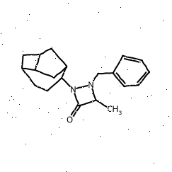 CC1C(=O)N(C2CCC3CC4CC2CC34)N1Cc1ccccc1